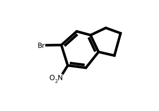 O=[N+]([O-])c1cc2c(cc1Br)CCC2